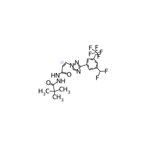 CC(C)(C)C(=O)NNC(=O)/C=C\n1cnc(-c2cc(C(F)F)cc(S(F)(F)(F)(F)F)c2)n1